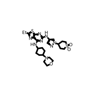 CCc1nc2c(NC3CCC(N4CCOCC4)CC3)nc(Nc3cnn(C4CCS(=O)(=O)CC4)c3)nc2s1